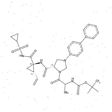 C=C[C@@H]1C[C@]1(NC(=O)[C@@H]1CN(c2ccc(-c3ccccc3)cc2)CN1C(=O)C(NC(=O)OC(C)(C)C(F)(F)F)C(C)(C)C)C(=O)NS(=O)(=O)C1CC1